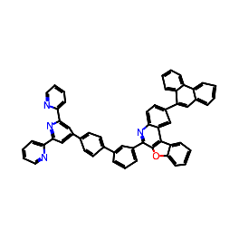 c1ccc(-c2cc(-c3ccc(-c4cccc(-c5nc6ccc(-c7cc8ccccc8c8ccccc78)cc6c6c5oc5ccccc56)c4)cc3)cc(-c3ccccn3)n2)nc1